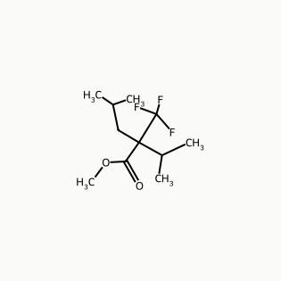 COC(=O)C(CC(C)C)(C(C)C)C(F)(F)F